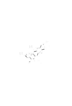 C=C/C=C1/C(=C)c2cc3c(cc2N/C1=C/C)C(=C)C(C=C)=C(/C=C\C)N3